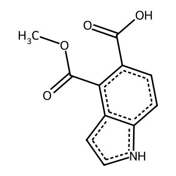 COC(=O)c1c(C(=O)O)ccc2[nH]ccc12